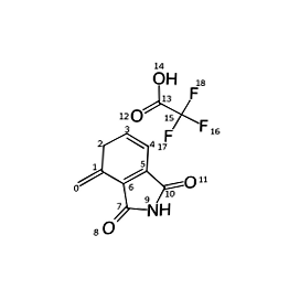 C=C1CC=CC2=C1C(=O)NC2=O.O=C(O)C(F)(F)F